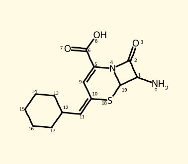 NC1C(=O)N2C(C(=O)O)=CC(=CC3CCCCC3)SC12